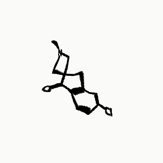 CN1CC2(Cc3cc(Cl)ccc3C2=O)C1